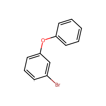 Brc1[c]ccc(Oc2ccccc2)c1